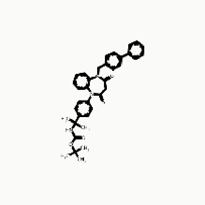 CC(C)(C)OC(=O)NC(C)(C)c1ccc(N2C(=O)CC(=O)N(Cc3ccc(-c4ccccc4)cc3)c3ccccc32)cc1